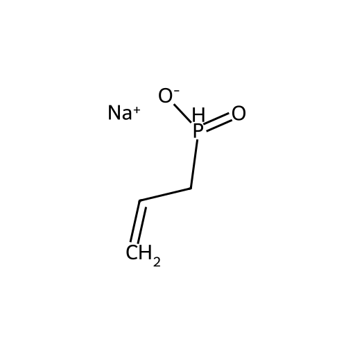 C=CC[PH](=O)[O-].[Na+]